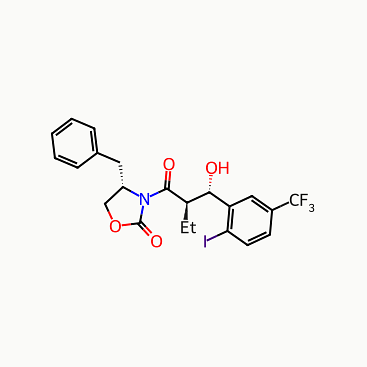 CC[C@@H](C(=O)N1C(=O)OC[C@@H]1Cc1ccccc1)[C@H](O)c1cc(C(F)(F)F)ccc1I